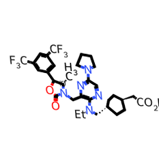 CCN(C[C@H]1CC[C@H](CC(=O)O)CC1)c1ncc(N2CCCC2)nc1CN1C(=O)OC(c2cc(C(F)(F)F)cc(C(F)(F)F)c2)[C@@H]1C